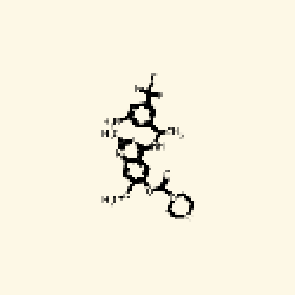 COc1cc2nc(C)nc(NC(C)c3cc(N)cc(C(F)(F)F)c3)c2cc1OC(=O)N1CCOCC1